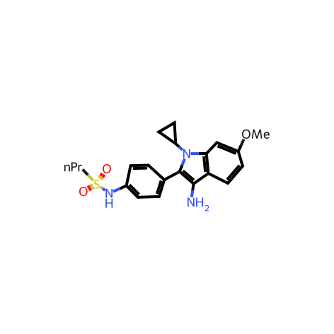 CCCS(=O)(=O)Nc1ccc(-c2c(N)c3ccc(OC)cc3n2C2CC2)cc1